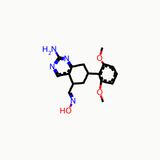 COc1cccc(OC)c1C1Cc2nc(N)ncc2C(C=NO)C1